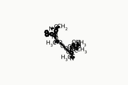 C=CC(=O)N1CCN(c2nc(OC[C@@H]3C[C@@H](OCCOCCOCCOc4cc(-c5scnc5C)ccc4CNC(=O)[C@@H]4C[C@@H](O)CN4C(=O)C(c4cc(C)no4)C(C)C)CN3C)nc3c2CCN(c2cccc4ccccc24)C3)C[C@@H]1CC#N